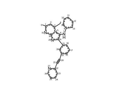 Cc1cc(C)n2c(Nc3ccccc3)c(-c3cccc(C#Cc4ccccn4)c3)nc2n1